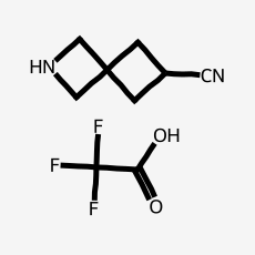 N#CC1CC2(CNC2)C1.O=C(O)C(F)(F)F